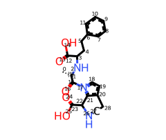 C[C@H](NC(CCc1ccccc1)C(=O)O)C(=O)n1ccc2c1C(C(=O)O)NCC2